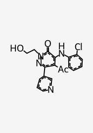 CC(=O)c1c(-c2cccnc2)nn(CCO)c(=O)c1Nc1ccccc1Cl